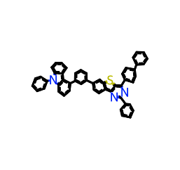 c1ccc(-c2ccc(-c3nc(-c4ccccc4)nc4c3sc3cc(-c5cccc(-c6cccc7c6c6ccccc6n7-c6ccccc6)c5)ccc34)cc2)cc1